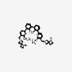 COc1nc(-c2cccc(-c3cccc(-c4ccc(CN5CC6(CCN6)C5)c(OC)n4)c3Cl)c2Cl)ccc1CN1CC2(CCN2)C1